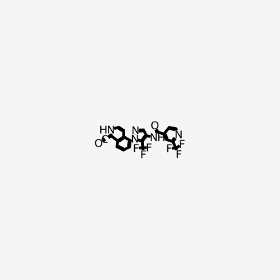 O=C=C1NC=Cc2c1cccc2-n1ncc(NC(=O)c2ccnc(C(F)(F)F)c2)c1C(F)(F)F